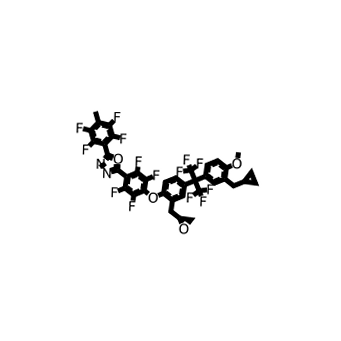 COc1ccc(C(c2ccc(Oc3c(F)c(F)c(-c4nnc(-c5c(F)c(F)c(C)c(F)c5F)o4)c(F)c3F)c(CC3CO3)c2)(C(F)(F)F)C(F)(F)F)cc1CC1CC1